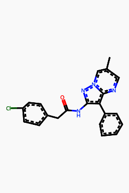 Cc1cnc2c(-c3ccccc3)c(NC(=O)Cc3ccc(Cl)cc3)nn2c1